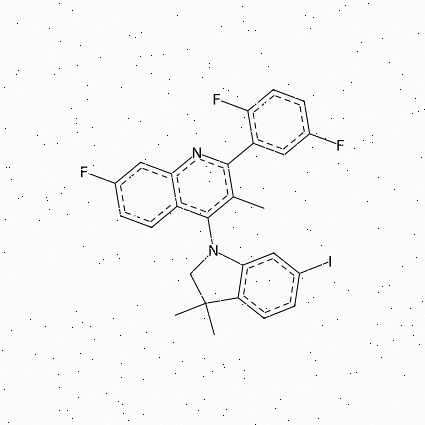 Cc1c(-c2cc(F)ccc2F)nc2cc(F)ccc2c1N1CC(C)(C)c2ccc(I)cc21